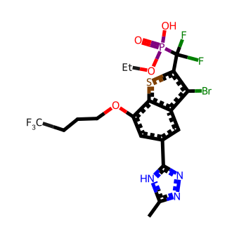 CCOP(=O)(O)C(F)(F)c1sc2c(OCCCC(F)(F)F)cc(-c3nnc(C)[nH]3)cc2c1Br